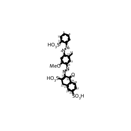 COc1cc(N=Nc2ccccc2S(=O)(=O)O)c(C)cc1N=NC1=C(S(=O)(=O)O)Cc2cc(S(=O)(=O)O)ccc2C1=O